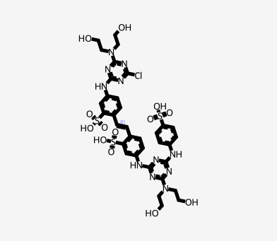 O=S(=O)(O)c1ccc(Nc2nc(Nc3ccc(/C=C/c4ccc(Nc5nc(Cl)nc(N(CCO)CCO)n5)cc4S(=O)(=O)O)c(S(=O)(=O)O)c3)nc(N(CCO)CCO)n2)cc1